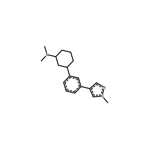 CN(C)C1CCCC(c2cccc(-c3cnn(C)c3)c2)C1